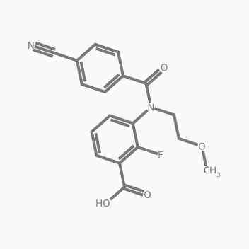 COCCN(C(=O)c1ccc(C#N)cc1)c1cccc(C(=O)O)c1F